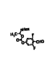 CCCCCCC(C)OC(=O)Oc1cc(F)c(C=O)c(F)c1